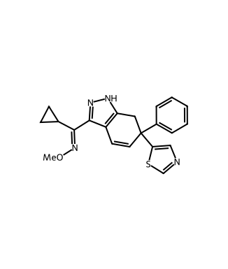 CON=C(c1n[nH]c2c1C=CC(c1ccccc1)(c1cncs1)C2)C1CC1